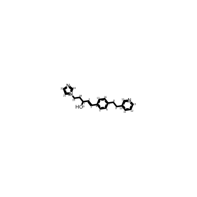 OC(C=Cc1ccc(CCc2cccnc2)cc1)CCn1ccnc1